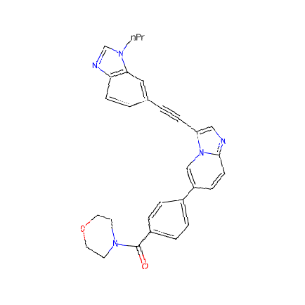 CCCn1cnc2ccc(C#Cc3cnc4ccc(-c5ccc(C(=O)N6CCOCC6)cc5)cn34)cc21